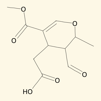 COC(=O)C1=COC(C)C(C=O)C1CC(=O)O